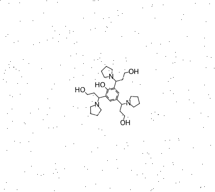 OCCC(c1cc(C(CCO)N2CCCC2)c(O)c(C(CCO)N2CCCC2)c1)N1CCCC1